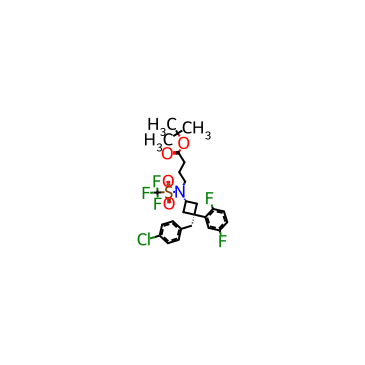 CC(C)(C)OC(=O)CCCN([C@H]1C[C@](Cc2ccc(Cl)cc2)(c2cc(F)ccc2F)C1)S(=O)(=O)C(F)(F)F